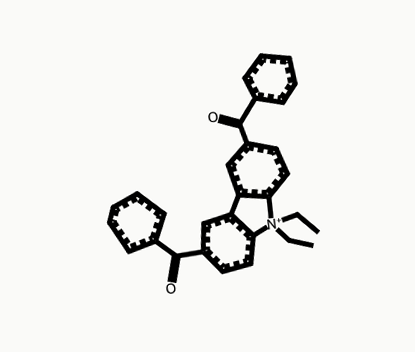 CC[N+]1(CC)c2ccc(C(=O)c3ccccc3)cc2-c2cc(C(=O)c3ccccc3)ccc21